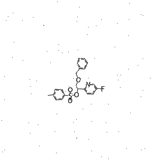 Cc1ccc(S(=O)(=O)OC(COCc2ccccc2)c2ccc(F)cn2)cc1